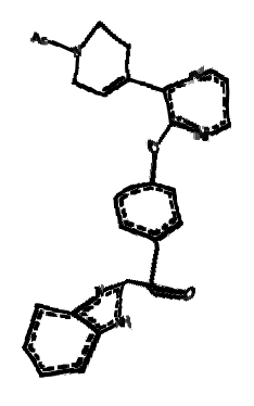 CC(=O)N1CC=C(c2nccnc2Oc2ccc(C(=O)c3nc4ccccc4[nH]3)cc2)CC1